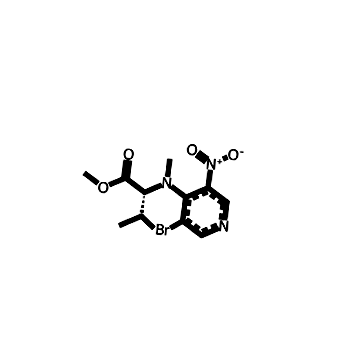 COC(=O)[C@@H](C(C)C)N(C)c1c(Br)cncc1[N+](=O)[O-]